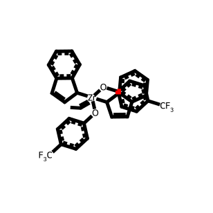 C[CH]=[Zr]([O]c1ccc(C(F)(F)F)cc1)([O]c1ccc(C(F)(F)F)cc1)([CH]1C=Cc2ccccc21)[CH]1C=Cc2ccccc21